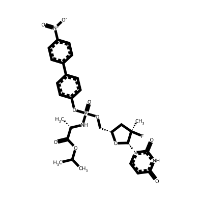 CC(C)OC(=O)[C@H](C)NP(=O)(OC[C@@H]1C[C@@](C)(F)[C@H](n2ccc(=O)[nH]c2=O)O1)Oc1ccc(-c2ccc([N+](=O)[O-])cc2)cc1